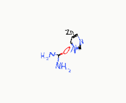 NC(N)=O.[Zn].c1cncnc1